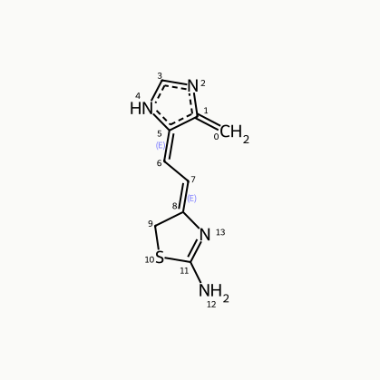 C=c1nc[nH]/c1=C/C=C1\CSC(N)=N1